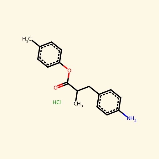 Cc1ccc(OC(=O)C(C)Cc2ccc(N)cc2)cc1.Cl